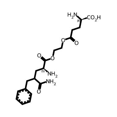 NC(=O)C(Cc1ccccc1)C[C@H](N)C(=O)OCCOC(=O)CC[C@@H](N)C(=O)O